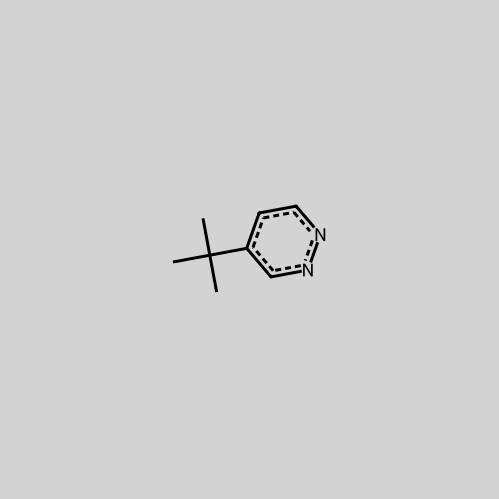 CC(C)(C)c1ccnnc1